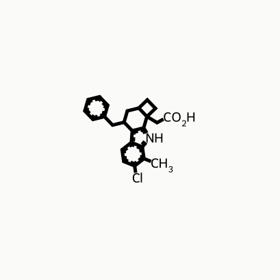 Cc1c(Cl)ccc2c3c([nH]c12)C1(CC(=O)O)CCC1CC3Cc1ccccc1